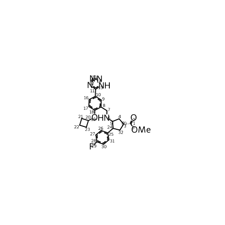 COC(=O)[C@H]1CC(NCc2cc(-c3nnn[nH]3)ccc2OC2CCC2)C(c2ccc(F)cc2)C1